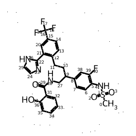 CS(=O)(=O)Nc1ccc(C(CCc2ccc(C(F)(F)F)cc2-c2ncc[nH]2)CNC(=O)c2ccccc2O)cc1F